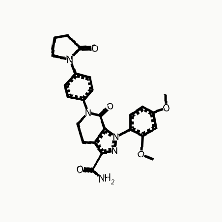 COc1ccc(-n2nc(C(N)=O)c3c2C(=O)N(c2ccc(N4CCCC4=O)cc2)CC3)c(OC)c1